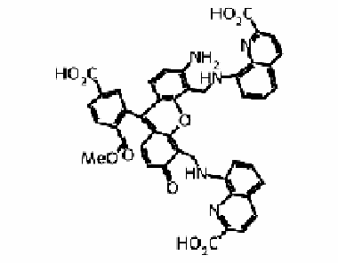 COC(=O)c1ccc(C(=O)O)cc1-c1c2ccc(=O)c(CNc3cccc4ccc(C(=O)O)nc34)c-2oc2c(CNc3cccc4ccc(C(=O)O)nc34)c(N)ccc12